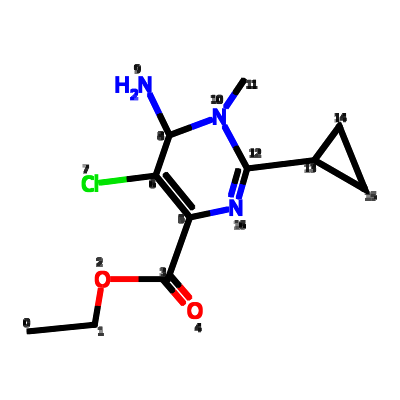 CCOC(=O)C1=C(Cl)C(N)N(C)C(C2CC2)=N1